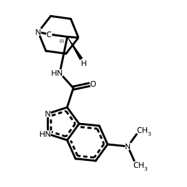 CN(C)c1ccc2[nH]nc(C(=O)N[C@@H]3CN4CCC3CC4)c2c1